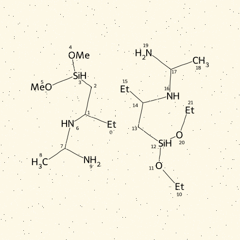 CCC(C[SiH](OC)OC)NC(C)N.CCO[SiH](CC(CC)NC(C)N)OCC